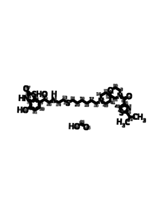 CC(C)c1nc(C(=O)N2CCOC3(CCN(CCCCCCSCCNC[C@H](O)c4ccc(O)c5[nH]c(=O)sc45)CC3)C2)cs1.O=CO